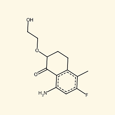 Cc1c(F)cc(N)c2c1CCC(OCCO)C2=O